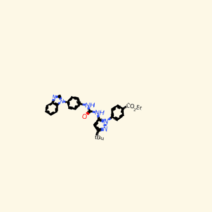 CCOC(=O)c1ccc(-n2nc(C(C)(C)C)cc2NC(=O)Nc2ccc(-n3cnc4ccccc43)cc2)cc1